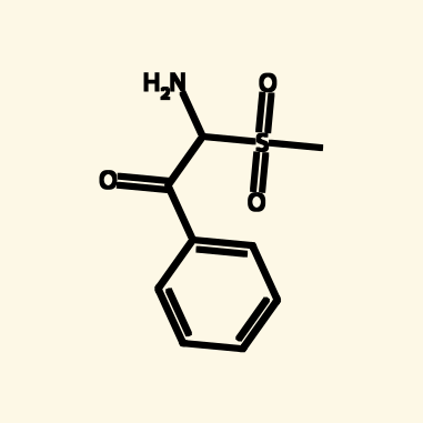 CS(=O)(=O)C(N)C(=O)c1ccccc1